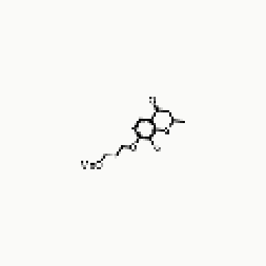 COCCCOc1ccc2c(c1Br)SC(C)CC2=O